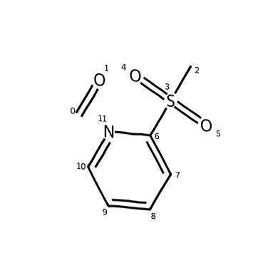 C=O.CS(=O)(=O)c1ccccn1